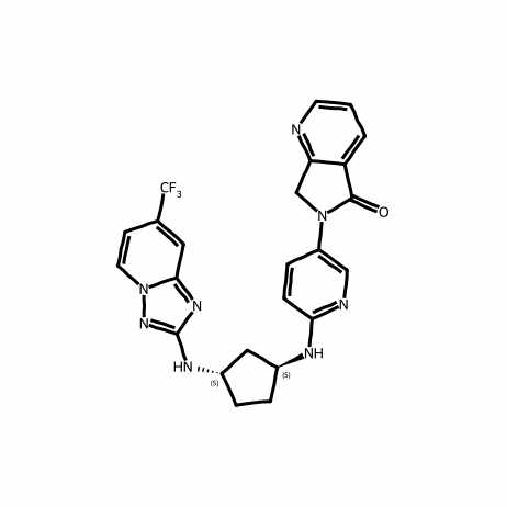 O=C1c2cccnc2CN1c1ccc(N[C@H]2CC[C@H](Nc3nc4cc(C(F)(F)F)ccn4n3)C2)nc1